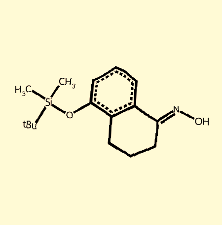 CC(C)(C)[Si](C)(C)Oc1cccc2c1CCC/C2=N\O